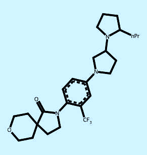 CCCC1CCCN1C1CCN(c2ccc(N3CCC4(CCOCC4)C3=O)c(C(F)(F)F)c2)C1